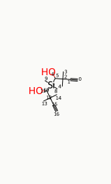 C#CC(C)(C)C(O)[Si](C)(C)C(O)C(C)(C)C#C